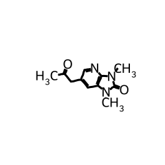 CC(=O)Cc1cnc2c(c1)n(C)c(=O)n2C